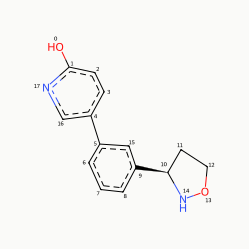 Oc1ccc(-c2cccc([C@H]3CCON3)c2)cn1